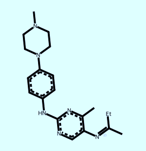 CC/C(C)=N\c1cnc(Nc2ccc(N3CCN(C)CC3)cc2)nc1C